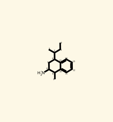 CCC(C)C1CC(N)C(C)c2ccccc21